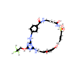 O=C1CCCNC(=O)c2ccc(cc2)Nc2nc(nc(OCC(F)(F)F)n2)NCc2ccc(cc2)OCC=CCS(=O)(=O)N1